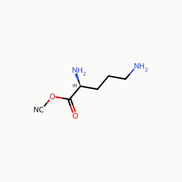 N#COC(=O)[C@@H](N)CCCN